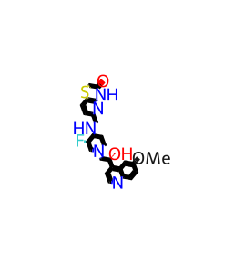 COc1ccc2nccc([C@@H](O)CN3CC[C@H](NCc4ccc5c(n4)NC(=O)CS5)[C@H](F)C3)c2c1